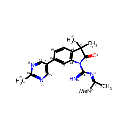 CN/C(C)=N\C(=N)N1C(=O)C(C)(C)c2ccc(-c3cnc(C)nc3)cc21